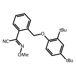 CON=C(C#N)c1ccccc1COc1ccc(C(C)(C)C)cc1C(C)(C)C